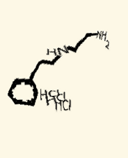 Cl.Cl.Cl.NCCNCCc1ccccc1